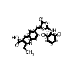 CCc1nc2ccc(/C=C3\SC(Nc4c(Cl)cccc4Cl)=NC3=O)cc2cc1C(=O)O